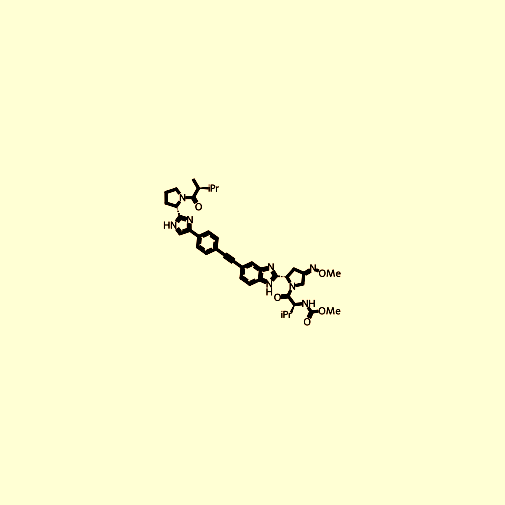 CON=C1C[C@@H](c2nc3cc(C#Cc4ccc(-c5c[nH]c([C@@H]6CCCN6C(=O)[C@@H](C)C(C)C)n5)cc4)ccc3[nH]2)N(C(=O)[C@@H](NC(=O)OC)C(C)C)C1